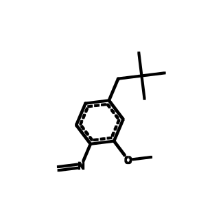 C=Nc1ccc(CC(C)(C)C)cc1OC